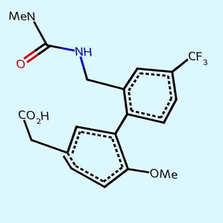 CNC(=O)NCc1cc(C(F)(F)F)ccc1-c1cc(CC(=O)O)ccc1OC